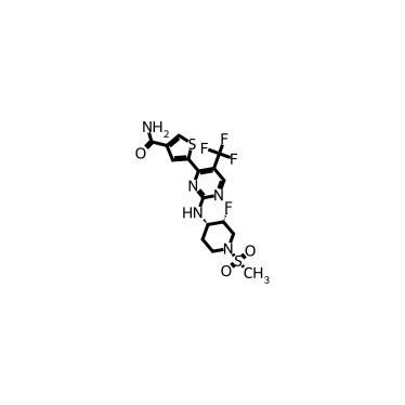 CS(=O)(=O)N1CC[C@H](Nc2ncc(C(F)(F)F)c(-c3cc(C(N)=O)cs3)n2)[C@H](F)C1